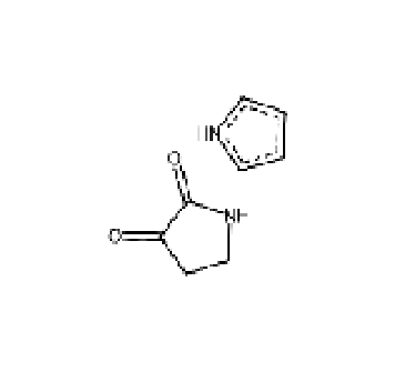 O=C1CCNC1=O.c1cc[nH]c1